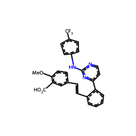 COc1ccc(/C=C/c2ccccc2-c2ccnc(Nc3ccc(C(F)(F)F)cc3)n2)cc1C(=O)O